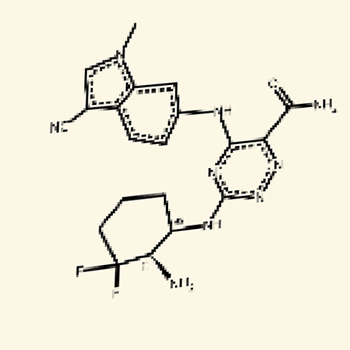 Cn1cc(C#N)c2ccc(Nc3nc(N[C@@H]4CCCC(F)(F)[C@@H]4N)nnc3C(N)=O)cc21